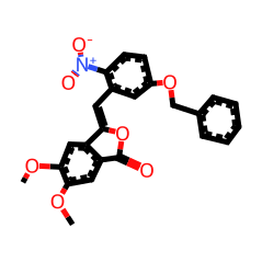 COc1cc2c(cc1OC)/C(=C/c1cc(OCc3ccccc3)ccc1[N+](=O)[O-])OC2=O